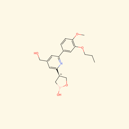 CCCOc1cc(-c2cc(CO)cc([C@H]3COB(O)C3)n2)ccc1OC